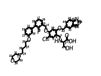 O=C(O)C(CO)NCc1cc(Cl)c(OCc2cccc(-c3cccc(OCCCCN4CCOCC4)c3)c2F)cc1OCc1ccc2nonc2c1